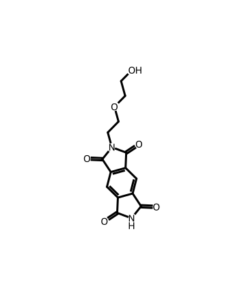 O=c1[nH]c(=O)c2cc3c(=O)n(CCOCCO)c(=O)c3cc12